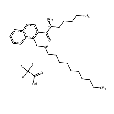 CCCCCCCCCCNCc1c(C(=O)[C@@H](N)CCCCN)ccc2ccccc12.O=C(O)C(F)(F)F